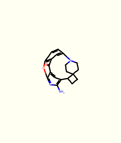 Nc1nc2oc3ccc4cc3c(=O)c2cc1C1CCC12CCN4CC2